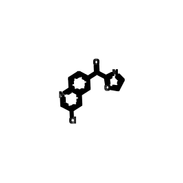 O=C(c1ccc2ncc(Cl)cc2c1)c1ncco1